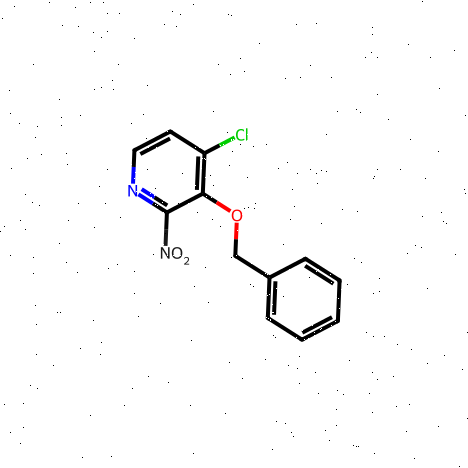 O=[N+]([O-])c1nccc(Cl)c1OCc1ccccc1